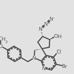 COc1ccc(CN2C[C@@]3(C[C@H](N=[N+]=[N-])[C@@H](O)C3)c3c2ncc(Br)c3Cl)cc1